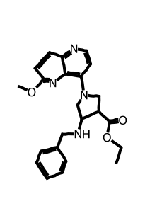 CCOC(=O)C1CN(c2ccnc3ccc(OC)nc23)CC1NCc1ccccc1